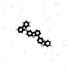 C1=c2oc3ccc(-c4cccc5c4sc4ccc(-n6c7ccccc7c7ccccc76)cc45)cc3c2=CCC1